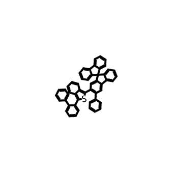 c1ccc(-c2ccccc2-c2sc(-c3cc4c(cc3-c3ccccc3)-c3ccccc3C43c4ccccc4-c4ccccc43)c3ccccc23)cc1